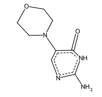 Nc1ncc(N2CCOCC2)c(=O)[nH]1